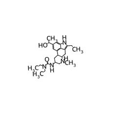 CCc1[nH]c2cc(C(C)O)cc3c2c1C[C@@H]1C3C[C@H](NC(=O)N(CC)CC)CN1C